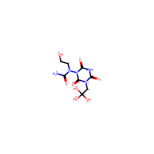 NC(=O)N(CCO)n1c(=O)[nH]c(=O)n(CC(O)(O)O)c1=O